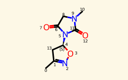 CC1=NO[C@H](N2C(=O)CN(C)C2=O)C1